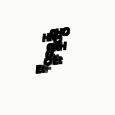 CCC(C)(C)c1ccc(OCC(=O)Nc2cccc(N[C]=O)c2)c(C(C)(C)CC)c1